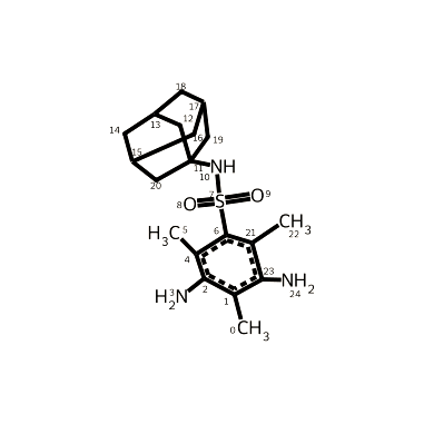 Cc1c(N)c(C)c(S(=O)(=O)NC23CC4CC(CC(C4)C2)C3)c(C)c1N